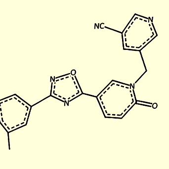 Cc1cccc(-c2noc(-c3ccc(=O)n(Cc4cncc(C#N)c4)c3)n2)c1